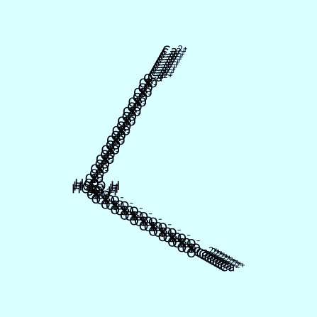 O=S(=O)(O)O.O=S(=O)(O)O.O=S(=O)(O)O.O=S(=O)([O-])[O-].O=S(=O)([O-])[O-].O=S(=O)([O-])[O-].O=S(=O)([O-])[O-].O=S(=O)([O-])[O-].O=S(=O)([O-])[O-].O=S(=O)([O-])[O-].O=S(=O)([O-])[O-].O=S(=O)([O-])[O-].O=S(=O)([O-])[O-].O=S(=O)([O-])[O-].O=S(=O)([O-])[O-].O=S(=O)([O-])[O-].O=S(=O)([O-])[O-].O=S(=O)([O-])[O-].O=S(=O)([O-])[O-].O=S(=O)([O-])[O-].O=S(=O)([O-])[O-].O=S(=O)([O-])[O-].O=S(=O)([O-])[O-].O=S(=O)([O-])[O-].O=S(=O)([O-])[O-].[Ca+2].[Ca+2].[Ca+2].[Ca+2].[Ca+2].[Ca+2].[Ca+2].[Ca+2].[Ca+2].[Ca+2].[Ca+2].[Ca+2].[Ca+2].[Ca+2].[Ca+2].[Ca+2].[Ca+2].[Ca+2].[Ca+2].[Ca+2].[Ca+2].[Ca+2]